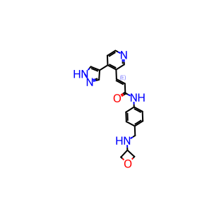 O=C(/C=C/c1cnccc1-c1cn[nH]c1)Nc1ccc(CNC2COC2)cc1